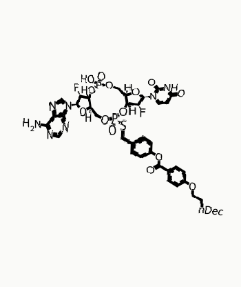 CCCCCCCCCCCCOc1ccc(C(=O)Oc2ccc(CS[P@@]3(=O)OC[C@H]4O[C@@H](n5cnc6c(N)ncnc65)[C@H](F)[C@@H]4OP(=O)(O)OC[C@H]4O[C@@H](n5ccc(=O)[nH]c5=O)[C@H](F)[C@@H]4O3)cc2)cc1